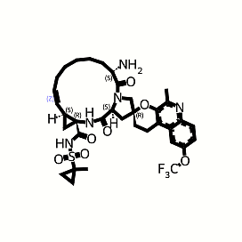 Cc1nc2ccc(OC(F)(F)F)cc2c2c1O[C@]1(CC2)C[C@H]2C(=O)N[C@]3(C(=O)NS(=O)(=O)C4(C)CC4)C[C@H]3/C=C\CCCCC[C@H](N)C(=O)N2C1